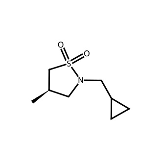 C[C@@H]1CN(CC2CC2)S(=O)(=O)C1